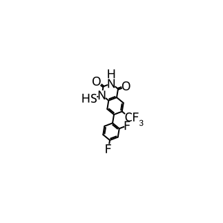 O=c1[nH]c(=O)n(S)c2cc(-c3ccc(F)cc3F)c(C(F)(F)F)cc12